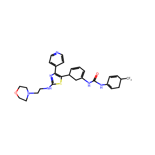 O=C(NC1=CCC(C(F)(F)F)C=C1)NC1=CC=CC(c2sc(NCCN3CCOCC3)nc2-c2ccncc2)C1